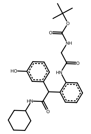 CC(C)(C)OC(=O)NCC(=O)Nc1ccccc1C(C(=O)NC1CCCCC1)c1cccc(O)c1